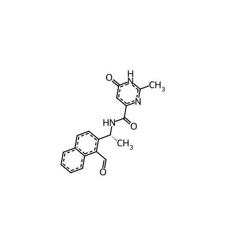 Cc1nc(C(=O)N[C@H](C)c2ccc3ccccc3c2C=O)cc(=O)[nH]1